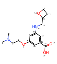 CN(C)CCOc1cc(NCC2CCO2)cc(C(=O)O)c1